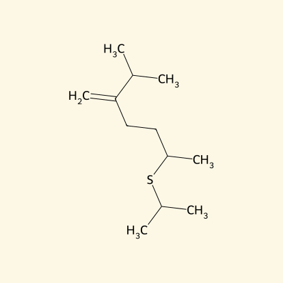 C=C(CCC(C)SC(C)C)C(C)C